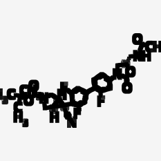 CC(=O)NC[C@H]1CN(c2ccc(-c3cc(F)c([C@@]4(C#N)[C@@H]5CN(C(=O)OC(C)(C)C)C[C@@H]54)c(F)c3)c(F)c2)C(=O)O1